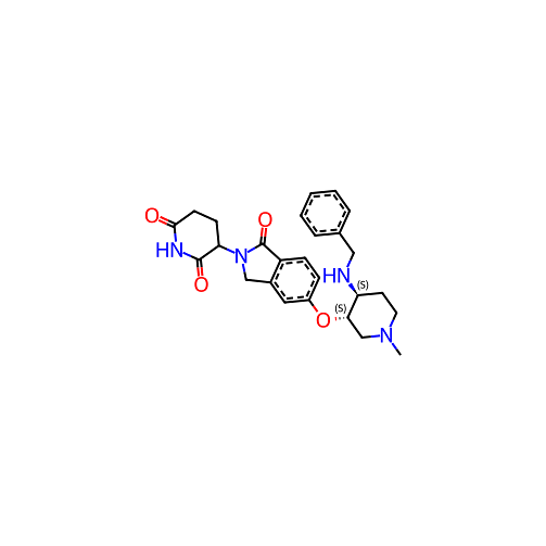 CN1CC[C@H](NCc2ccccc2)[C@@H](Oc2ccc3c(c2)CN(C2CCC(=O)NC2=O)C3=O)C1